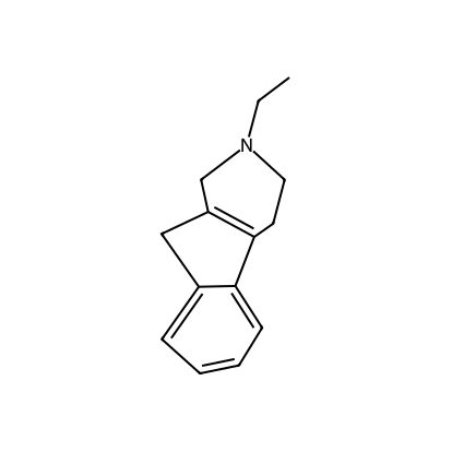 CCN1CCC2=C(Cc3ccccc32)C1